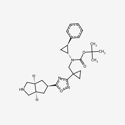 CC(C)(C)OC(=O)N(CC1(c2noc([C@H]3C[C@H]4CNC[C@H]4C3)n2)CC1)[C@@H]1C[C@H]1c1ccccc1